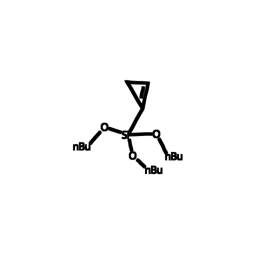 CCCCO[Si](OCCCC)(OCCCC)C1=CC1